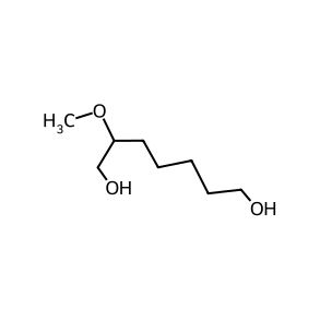 COC(CO)CCCCCO